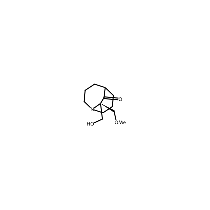 COC[C@]1(CO)C(=O)C2CCCN1CCC2